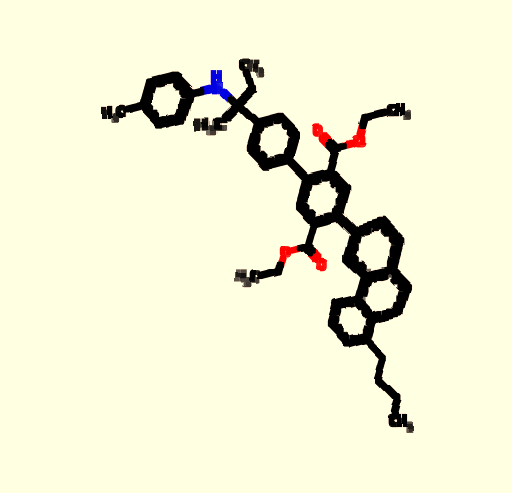 CCCCc1cccc2c1ccc1ccc(-c3cc(C(=O)OCC)c(-c4ccc(C(C)(CC)Nc5ccc(C)cc5)cc4)cc3C(=O)OCC)cc12